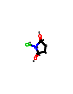 O=C1[CH]CC(=O)N1Cl